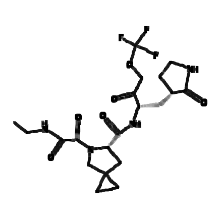 CCNC(=O)C(=O)N1CC2(CC2)C[C@H]1C(=O)N[C@@H](C[C@@H]1CCNC1=O)C(=O)COC(F)(F)F